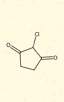 O=C1CCC(=O)C1Cl